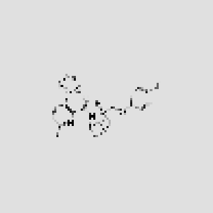 Cc1ccc(-c2nccs2)c(C(=O)N2C3CC(C3)C[C@H]2COc2ccc(F)cc2)n1